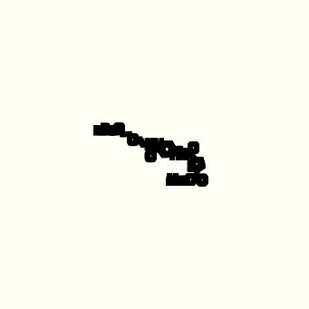 CCCCOCCOCCNC(=O)c1ccc(CNC(=O)c2ccc(C(=O)OC)s2)cc1